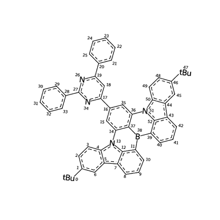 CC(C)(C)c1ccc2c(c1)c1cccc3c1n2-c1cc(-c2cc(-c4ccccc4)nc(-c4ccccc4)n2)cc2c1B3c1cccc3c4cc(C(C)(C)C)ccc4n-2c13